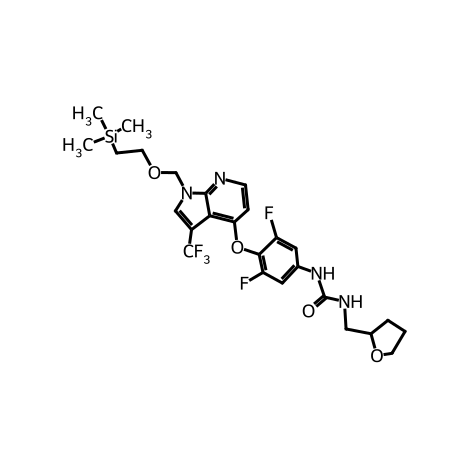 C[Si](C)(C)CCOCn1cc(C(F)(F)F)c2c(Oc3c(F)cc(NC(=O)NCC4CCCO4)cc3F)ccnc21